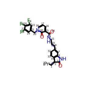 CC(C)/C=C1/C(=O)Nc2cc(/C=C/CNC(=O)c3cccn(Cc4cc(F)c(F)c(F)c4)c3=O)ccc21